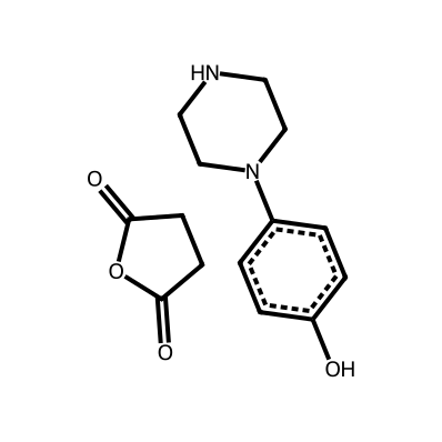 O=C1CCC(=O)O1.Oc1ccc(N2CCNCC2)cc1